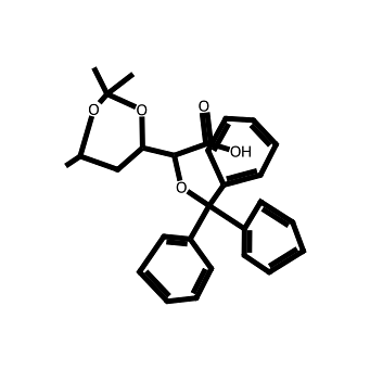 CC1CC(C(OC(c2ccccc2)(c2ccccc2)c2ccccc2)C(=O)O)OC(C)(C)O1